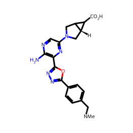 CNCc1ccc(-c2nnc(-c3nc(N4CC5C(C(=O)O)[C@@H]5C4)cnc3N)o2)cc1